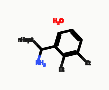 CCCCCCCC(N)c1cccc(CC)c1CC.O